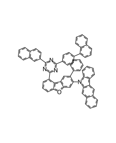 c1ccc(-c2cc3c(cc2-n2c4ccccc4c4cc5ccccc5cc42)oc2cccc(-c4nc(-c5ccc(-c6cccc7ccccc67)cc5)nc(-c5ccc6ccccc6c5)n4)c23)cc1